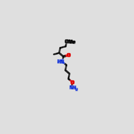 COCCC(C)C(=O)NCCCCON